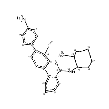 Nc1ncc(-c2ccc(-c3ccccc3[S+]([O-])NC3CCCCC3O)cc2F)cn1